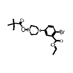 CCOC(=O)c1cc(N2CCN(OC(=O)C(C)(C)C)CC2)ccc1Br